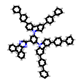 c1ccc(-c2ccc(-c3ccc4c(c3)c3cc(-c5ccc(-c6ccccc6)cc5)ccc3n4-c3cc(-c4cnc5c6ccccc6c6ccccc6c5n4)cc(-n4c5ccc(-c6ccc(-c7ccccc7)cc6)cc5c5cc(-c6ccc(-c7ccccc7)cc6)ccc54)c3)cc2)cc1